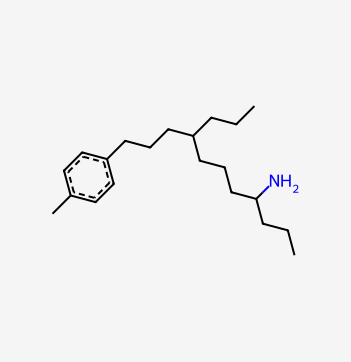 CCCC(N)CCCC(CCC)CCCc1ccc(C)cc1